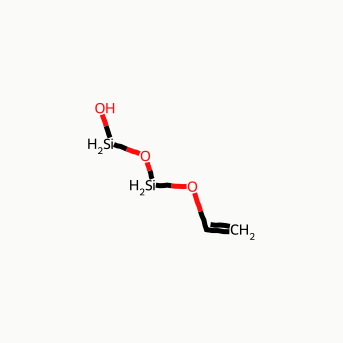 C=CO[SiH2]O[SiH2]O